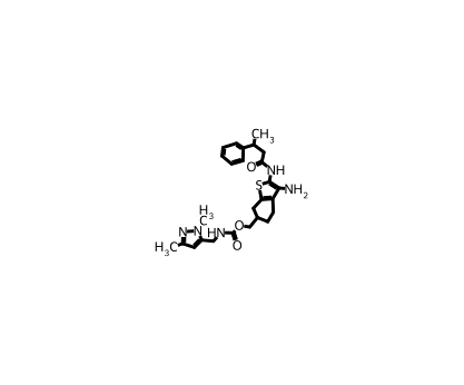 Cc1cc(CNC(=O)OCC2CCc3c(sc(NC(=O)CC(C)c4ccccc4)c3N)C2)n(C)n1